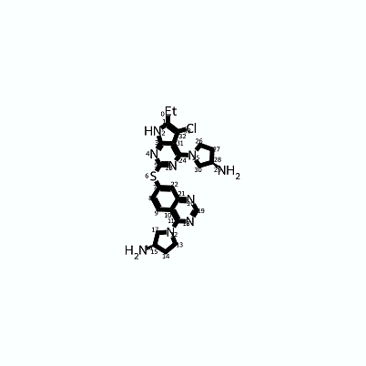 CCc1[nH]c2nc(Sc3ccc4c(N5CC[C@@H](N)C5)ncnc4c3)nc(N3CC[C@@H](N)C3)c2c1Cl